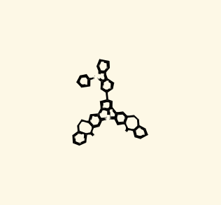 O=C1c2ccccc2CCc2cc3c4cc(-c5ccc6c7ccccc7n(-c7ccccc7)c6c5)cc5c6cc7c(cc6n(c3cc21)c45)C(=O)c1ccccc1CC7